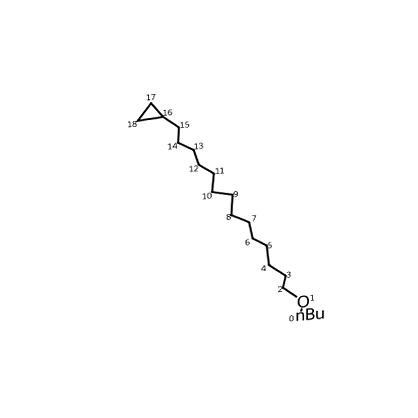 CCCCOCCCCCCCCCCCCCCC1CC1